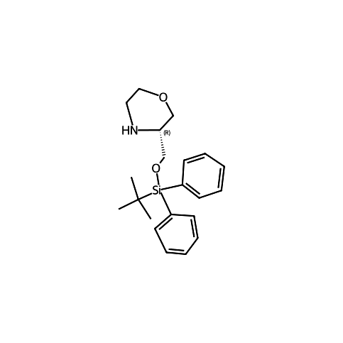 CC(C)(C)[Si](OC[C@H]1COCCN1)(c1ccccc1)c1ccccc1